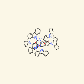 C1=CC2c3ccc4c5ccccc5n(-c5ccc(-c6nc(-n7c8ccccc8c8ccc9c%10ccccc%10n(-c%10ccccc%10)c9c87)cc(-n7c8ccccc8c8ccc9c%10ccccc%10n(-c%10ccccc%10)c9c87)n6)cc5)c4c3N(c3ccccc3)C2C=C1